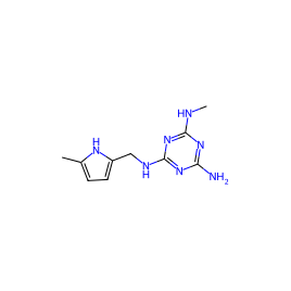 CNc1nc(N)nc(NCc2ccc(C)[nH]2)n1